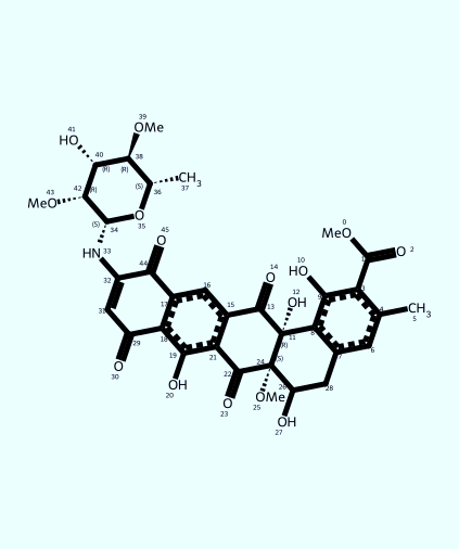 COC(=O)c1c(C)cc2c(c1O)[C@]1(O)C(=O)c3cc4c(c(O)c3C(=O)[C@]1(OC)C(O)C2)C(=O)C=C(N[C@H]1O[C@@H](C)[C@H](OC)[C@@H](O)[C@H]1OC)C4=O